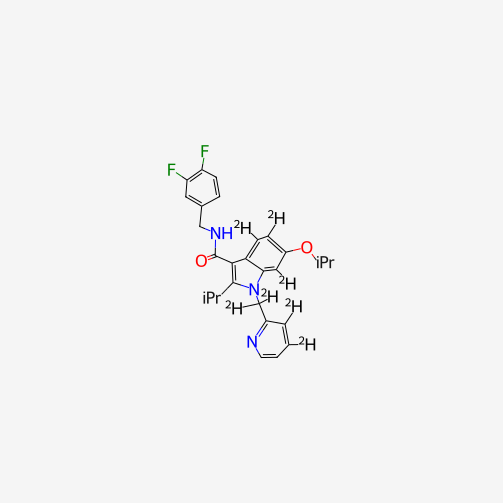 [2H]c1ccnc(C([2H])([2H])n2c(C(C)C)c(C(=O)NCc3ccc(F)c(F)c3)c3c([2H])c([2H])c(OC(C)C)c([2H])c32)c1[2H]